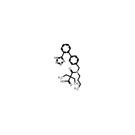 CCCCN(Cc1ccc(-c2ccccc2-c2nnn[nH]2)cc1)C(=O)C(CC)(CC)C(=O)O